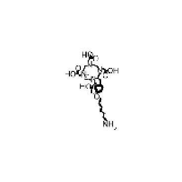 NCCCCCCCOc1ccc(CC2CN(CC(=O)O)CCN(CC(=O)O)CCN(CC(=O)O)CCN2CC(=O)O)cc1